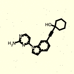 Nc1nccc(-n2ccc3ccc(C#CC4(O)CCCCC4)cc32)n1